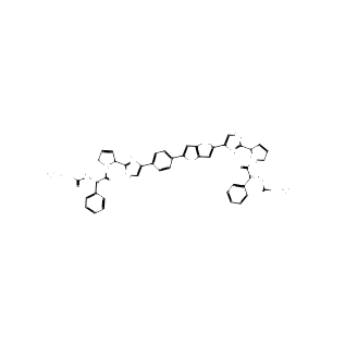 COC(=O)N[C@@H](C(=O)N1CC=CC1c1nc(-c2ccc(-c3cc4sc(-c5c[nH]c(C6C=CCN6C(=O)[C@H](NC(=O)OC)c6ccccc6)n5)cc4s3)cc2)c[nH]1)c1ccccc1